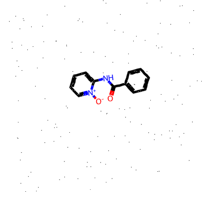 O=C(Nc1cccc[n+]1[O-])c1ccccc1